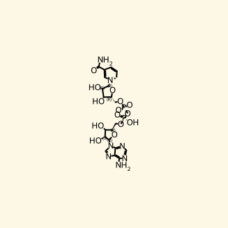 NC(=O)c1ccc[n+]([C@@H]2O[C@H](COP(=O)([O-])OP(=O)(O)OC[C@H]3O[C@@H](n4cnc5c(N)ncnc54)[C@@H](O)C3O)C(O)[C@@H]2O)c1